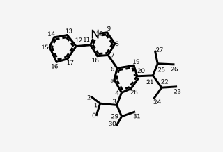 CC(C)C(c1cc(-c2ccnc(-c3ccccc3)c2)cc(C(C(C)C)C(C)C)c1)C(C)C